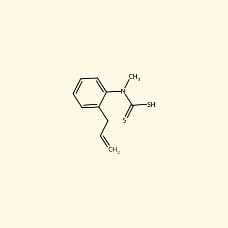 C=CCc1ccccc1N(C)C(=S)S